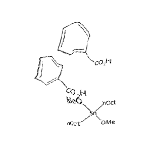 CCCCCCC[CH2][Sn]([CH2]CCCCCCC)([O]C)[O]C.O=C(O)c1ccccc1.O=C(O)c1ccccc1